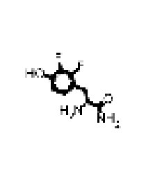 NC(=O)[C@@H](N)Cc1ccc(O)c(F)c1F